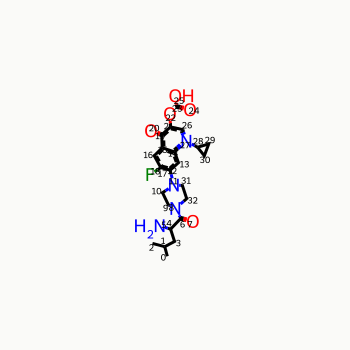 CC(C)CC(N)C(=O)N1CCN(c2cc3c(cc2F)c(=O)c(OC(=O)O)cn3C2CC2)CC1